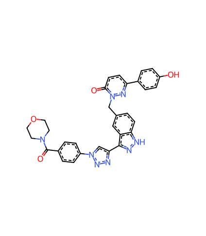 O=C(c1ccc(-n2cc(-c3n[nH]c4ccc(Cn5nc(-c6ccc(O)cc6)ccc5=O)cc34)nn2)cc1)N1CCOCC1